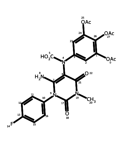 CC(=O)Oc1cc(N(C(=O)O)c2c(N)n(-c3ccc(F)cc3)c(=O)n(C)c2=O)cc(OC(C)=O)c1OC(C)=O